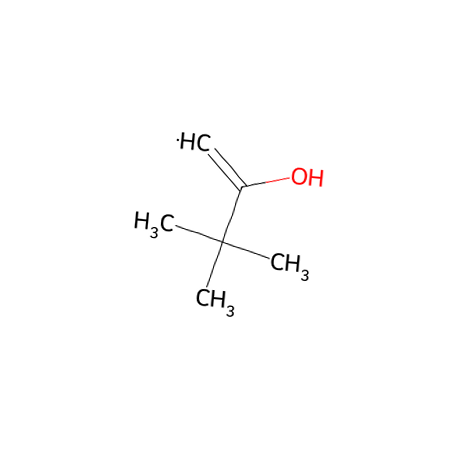 [CH]=C(O)C(C)(C)C